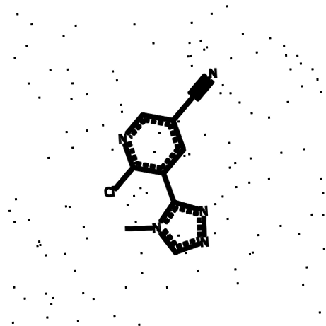 Cn1cnnc1-c1cc(C#N)cnc1Cl